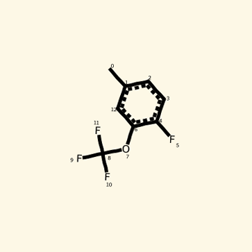 Cc1ccc(F)c(OC(F)(F)F)c1